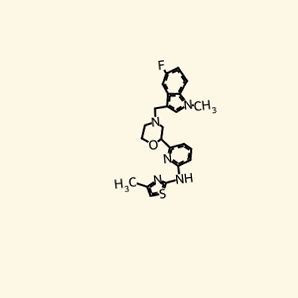 Cc1csc(Nc2cccc(C3CN(Cc4cn(C)c5ccc(F)cc45)CCO3)n2)n1